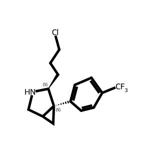 FC(F)(F)c1ccc([C@]23CC2CN[C@H]3CCCCl)cc1